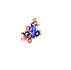 CSCCC(NC(C)=O)C(=O)NC(CC(C)C)C(=O)NC(Cc1ccccc1)C(=O)O